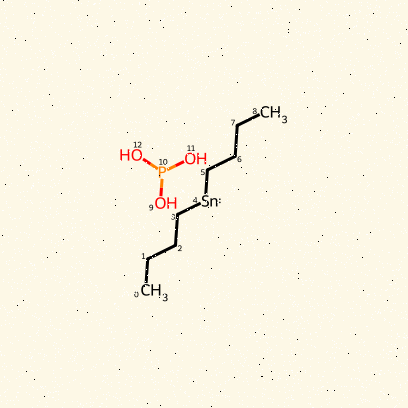 CCC[CH2][Sn][CH2]CCC.OP(O)O